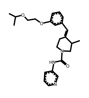 CC(C)OCCOc1cccc(C=C2CCN(C(=O)Nc3cccnc3)CC2C)c1